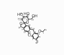 CCOc1cc(F)ccc1Cc1cc2c(cc1Cl)CO[C@]21OC(CO)[C@@H](O)[C@H](O)[C@H]1C